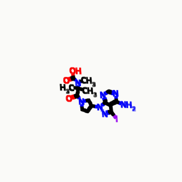 CN(C(=O)O)C(C)(C)C(=O)N1CCC(n2nc(I)c3c(N)ncnc32)C1